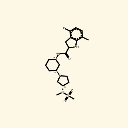 Cc1ccc(F)c2c1NC(C(=O)N[C@@H]1CCC[C@H](N3CC[C@H](N(C)S(C)(=O)=O)C3)C1)C2